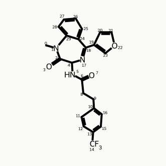 CN1C(=O)C(NC(=O)CCc2ccc(C(F)(F)F)cc2)N=C(c2ccoc2)c2ccccc21